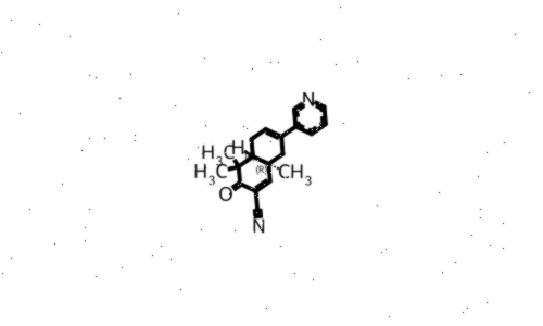 CC1(C)C(=O)C(C#N)=C[C@]2(C)CC(c3cccnc3)=CC[C@@H]12